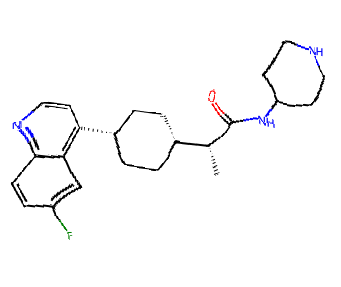 C[C@@H](C(=O)NC1CCNCC1)[C@H]1CC[C@@H](c2ccnc3ccc(F)cc32)CC1